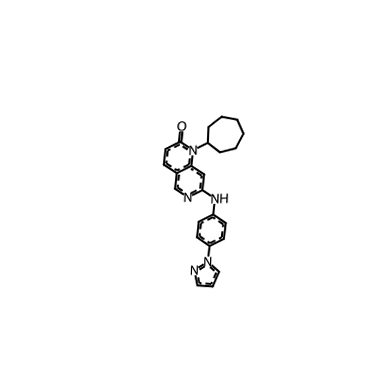 O=c1ccc2cnc(Nc3ccc(-n4cccn4)cc3)cc2n1C1CCCCCC1